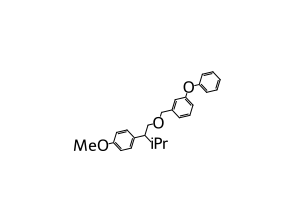 COc1ccc(C(COCc2cccc(Oc3ccccc3)c2)C(C)C)cc1